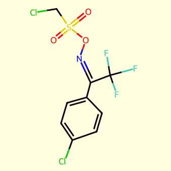 O=S(=O)(CCl)ON=C(c1ccc(Cl)cc1)C(F)(F)F